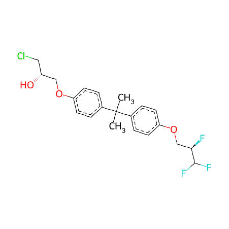 CC(C)(c1ccc(OC[C@H](O)CCl)cc1)c1ccc(OC[C@@H](F)C(F)F)cc1